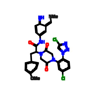 CN/C=C1/C=C(NC(=O)C(Cc2ccc(OC)cc2)N2CC(=O)N(c3cc(Cl)ccc3-n3cc(Cl)nn3)CC2=O)C=CC1=N